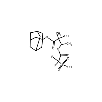 CC(OC(=O)C(F)(F)S(=O)(=O)O)C(C)(O)C(=O)OC12CC3CC(CC(C3)C1)C2